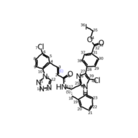 O=C(/C=C/c1cc(Cl)ccc1-n1cnnn1)N[C@@H](Cc1ccccc1)c1nc(-c2ccc(C(=O)OCI)cc2)c(Cl)[nH]1